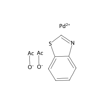 CC(=O)[O-].CC(=O)[O-].[Pd+2].c1ccc2scnc2c1